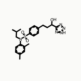 Cc1ccc(N(CC(C)C)S(=O)(=O)c2ccc(CCC(O)c3nn[nH]n3)cc2)c(C)c1